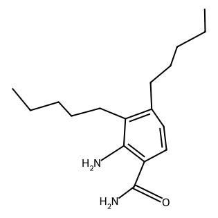 CCCCCc1ccc(C(N)=O)c(N)c1CCCCC